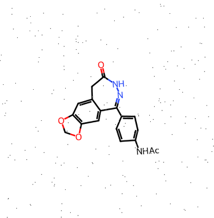 CC(=O)Nc1ccc(C2=NNC(=O)Cc3cc4c(cc32)OCO4)cc1